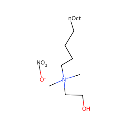 CCCCCCCCCCCC[N+](C)(C)CCO.O=[N+]([O-])[O-]